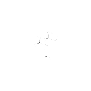 COC(=O)O.COC(=O)O.COC(=O)O.P